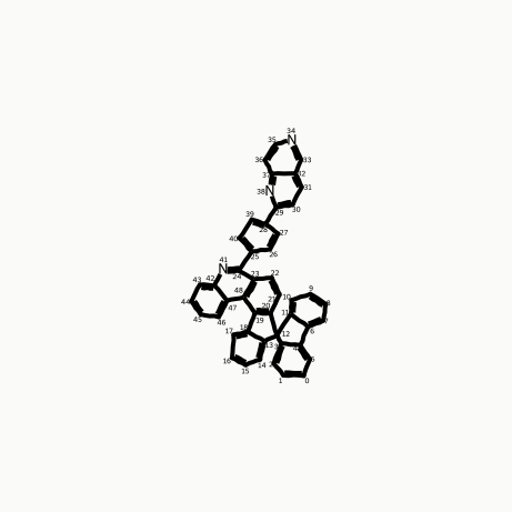 c1ccc2c(c1)-c1ccccc1C21c2ccccc2-c2c1ccc1c(-c3ccc(-c4ccc5cnccc5n4)cc3)nc3ccccc3c21